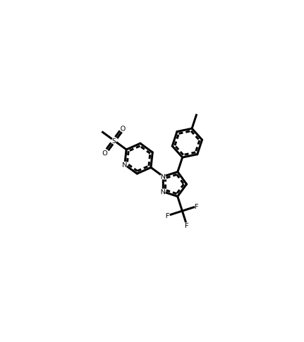 Cc1ccc(-c2cc(C(F)(F)F)nn2-c2ccc(S(C)(=O)=O)nc2)cc1